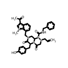 C=CCN1CC(=O)N2C(Cc3ccc(O)cc3)C(=O)N(Cc3cccc4c(C(C)=O)cn(C)c34)CC2N1C(=O)NCc1ccccc1